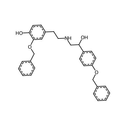 Oc1ccc(CCNCC(O)c2ccc(OCc3ccccc3)cc2)cc1OCc1ccccc1